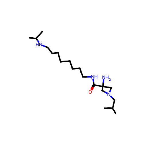 CC(C)CN1CC(N)(C(=O)NCCCCCCCCNC(C)C)C1